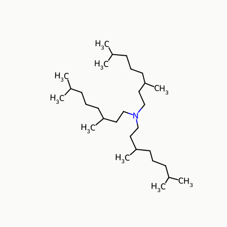 CC(C)CCCC(C)CCN(CCC(C)CCCC(C)C)CCC(C)CCCC(C)C